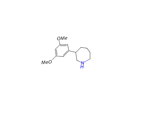 COc1cc(OC)cc(C2CCCCNC2)c1